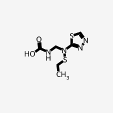 CCSN(CNC(=O)O)c1nncs1